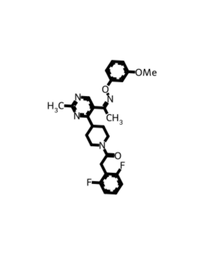 COc1cccc(ON=C(C)c2cnc(C)nc2C2CCN(C(=O)Cc3c(F)cccc3F)CC2)c1